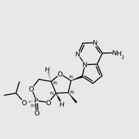 CC(C)O[P@]1(=O)OC[C@H]2O[C@@H](c3ccc4c(N)ncnn34)[C@@H](C)[C@@H]2O1